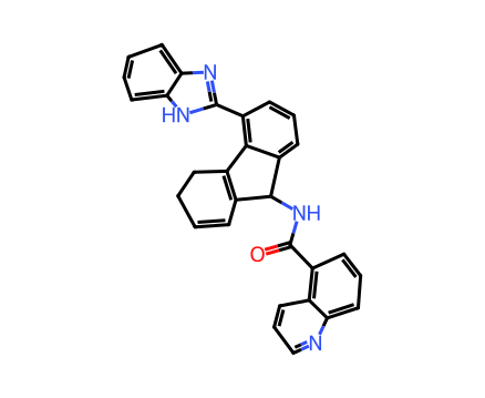 O=C(NC1C2=C(CCC=C2)c2c(-c3nc4ccccc4[nH]3)cccc21)c1cccc2ncccc12